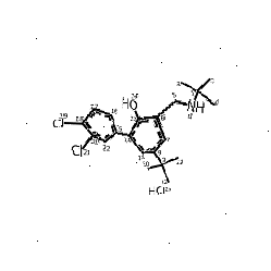 CC(C)(C)NCc1cc(C(C)(C)C)cc(-c2ccc(Cl)c(Cl)c2)c1O.Cl